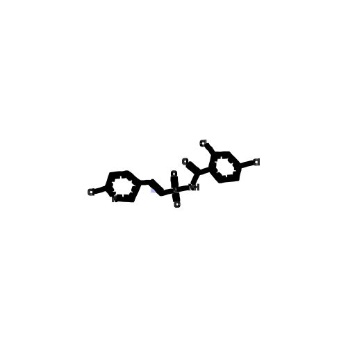 O=C(NS(=O)(=O)/C=C/c1ccc(Cl)nc1)c1ccc(Cl)cc1Cl